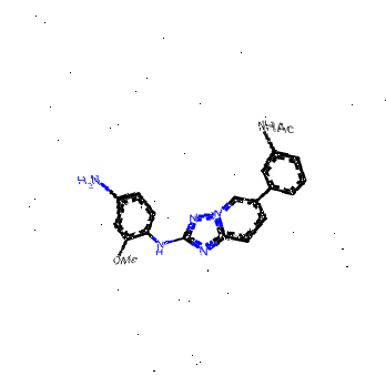 COc1cc(N)ccc1Nc1nc2ccc(-c3cccc(NC(C)=O)c3)cn2n1